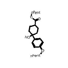 CCCCCOC(=O)C1CCC(O)(c2ccc(OCCCCC)cc2)CC1